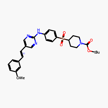 COc1cccc(/C=C/c2cnc(Nc3ccc(S(=O)(=O)C4CCN(C(=O)OC(C)(C)C)CC4)cc3)nc2)c1